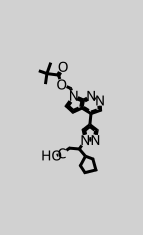 CC(C)(C)C(=O)OCn1ccc2c(-c3cnn(C(CCO)C4CCCC4)c3)cnnc21